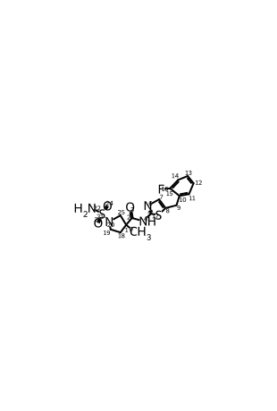 CC1(C(=O)Nc2ncc(Cc3ccccc3F)s2)CCN(S(N)(=O)=O)C1